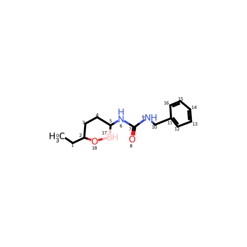 CCC1CCC(NC(=O)NCc2ccccc2)BO1